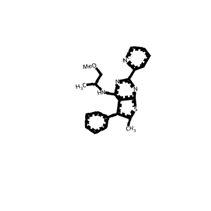 COCC(C)Nc1nc(-c2ccccn2)nc2sc(C)c(-c3ccccc3)c12